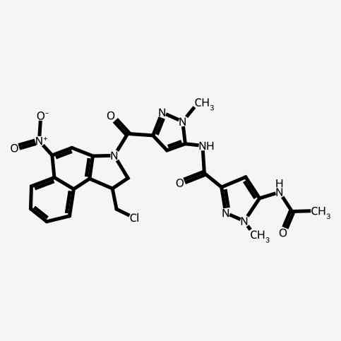 CC(=O)Nc1cc(C(=O)Nc2cc(C(=O)N3CC(CCl)c4c3cc([N+](=O)[O-])c3ccccc43)nn2C)nn1C